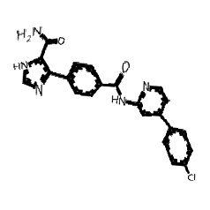 NC(=O)c1[nH]cnc1-c1ccc(C(=O)Nc2cc(-c3ccc(Cl)cc3)ccn2)cc1